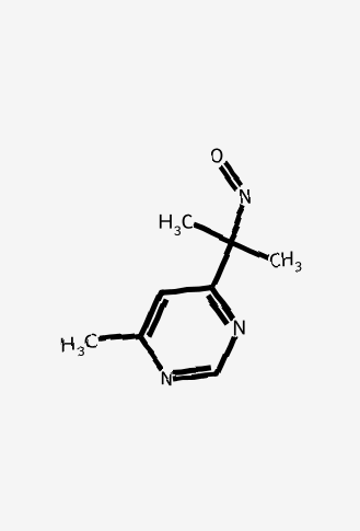 Cc1cc(C(C)(C)N=O)ncn1